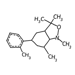 Cc1ccccc1C1CC(C)C2C(C1)C(C)(C)ON2C